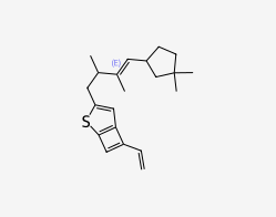 C=CC1=Cc2sc(CC(C)/C(C)=C/C3CCC(C)(C)C3)cc21